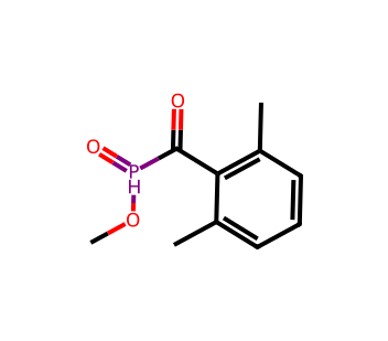 CO[PH](=O)C(=O)c1c(C)cccc1C